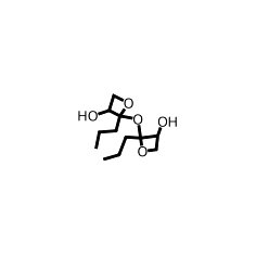 CCCC1(OC2(CCC)OCC2O)OCC1O